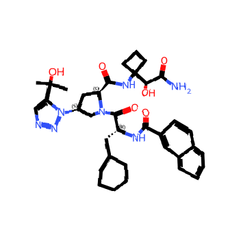 CC(C)(O)c1cnnn1[C@H]1C[C@@H](C(=O)NC2(C(O)C(N)=O)CCC2)N(C(=O)[C@@H](CC2CCCCC2)NC(=O)c2ccc3ccccc3c2)C1